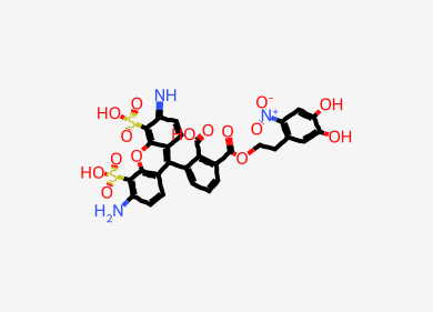 N=c1ccc2c(-c3cccc(C(=O)OCCc4cc(O)c(O)cc4[N+](=O)[O-])c3C(=O)O)c3ccc(N)c(S(=O)(=O)O)c3oc-2c1S(=O)(=O)O